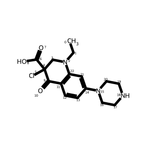 CCN1CC(Cl)(C(=O)O)C(=O)c2ccc(N3CCNCC3)cc21